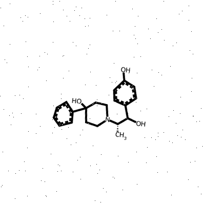 C[C@@H](C(O)c1ccc(O)cc1)N1CCC(O)(c2ccccc2)CC1